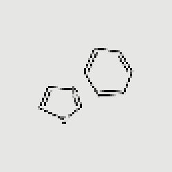 c1ccccc1.c1cscn1